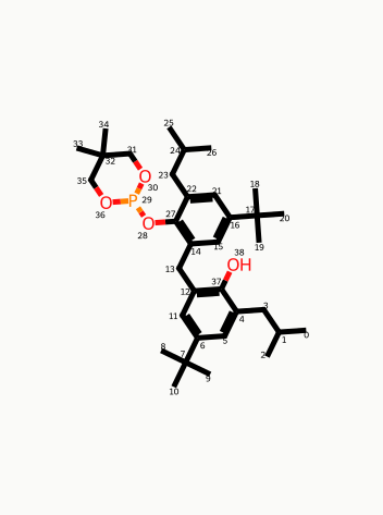 CC(C)Cc1cc(C(C)(C)C)cc(Cc2cc(C(C)(C)C)cc(CC(C)C)c2OP2OCC(C)(C)CO2)c1O